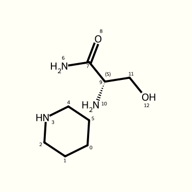 C1CCNCC1.NC(=O)[C@@H](N)CO